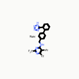 CCCc1c(CC)nc(C(F)(F)F)nc1NCc1ccc(-c2ccccc2-c2nnn[nH]2)cc1.[NaH]